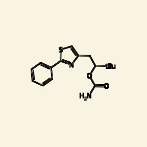 CC(C)(C)C(Cc1csc(-c2ccccc2)n1)OC(N)=O